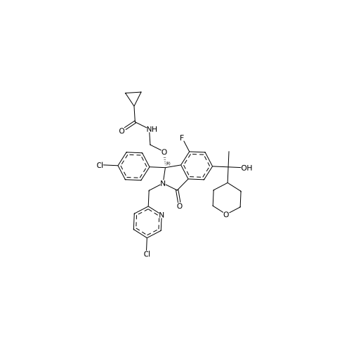 CC(O)(c1cc(F)c2c(c1)C(=O)N(Cc1ccc(Cl)cn1)[C@@]2(OCNC(=O)C1CC1)c1ccc(Cl)cc1)C1CCOCC1